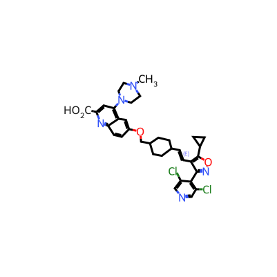 CN1CCN(c2cc(C(=O)O)nc3ccc(OCC4CCC(/C=C/c5c(-c6c(Cl)cncc6Cl)noc5C5CC5)CC4)cc23)CC1